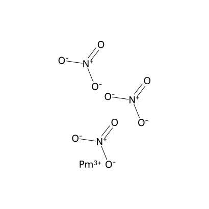 O=[N+]([O-])[O-].O=[N+]([O-])[O-].O=[N+]([O-])[O-].[Pm+3]